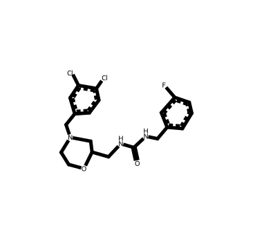 O=C(NCc1cccc(F)c1)NCC1CN(Cc2ccc(Cl)c(Cl)c2)CCO1